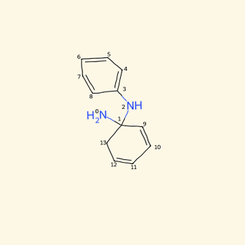 NC1(Nc2ccccc2)C=CC=CC1